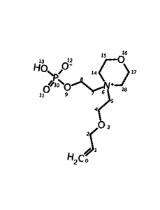 C=CCOCC[N+]1(CCOP(=O)([O-])O)CCOCC1